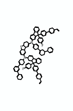 C=CC1=CC=C(c2ccc(C3(c4ccc(F)cc4)c4ccccc4-c4ccc(N(C5=CCC(C6=CCCC(C7C=CC=CC7)C6)C=C5)C5=CC6C(CC5)SC5C=CC(N(C7C=CC8C9=C(CCC=C9)C(c9ccc(C%10=CCC(C=C)C=C%10)cc9)(C9C=CC(F)=CC9)C8C7)C7CC=C(c8cccc(C9=CCCC=C9)c8)CC7)=CC56)cc43)cc2)CC1